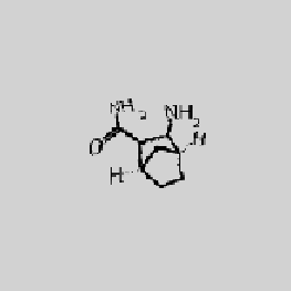 NC(=O)C1C(N)[C@H]2CC[C@@H]1C2